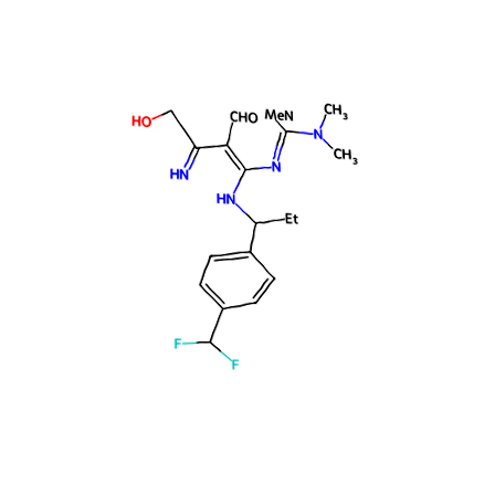 CCC(NC(/N=C(\NC)N(C)C)=C(/C=O)C(=N)CO)c1ccc(C(F)F)cc1